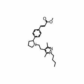 CCCCn1nc(C)c(CCN2CCCC2c2ccc(/C=C/C(=O)OC)cc2)c1C